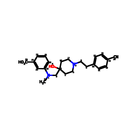 CN(CC1(O)CCN(CCc2ccc(C#N)cc2)CC1)c1cccc(C(=O)O)c1